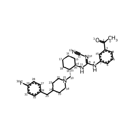 CC(=O)c1cccc(NC(=NC#N)N[C@@H]2CCCC[C@H]2CN2CCC(Cc3ccc(F)cc3)CC2)c1